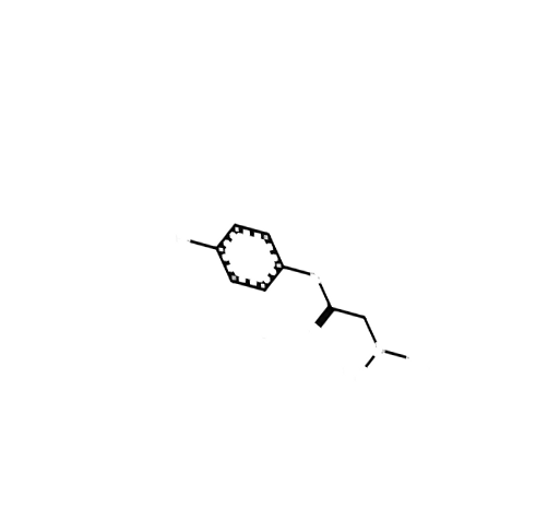 CN(C)CC(=O)Nc1ccc(O)cc1.Cl